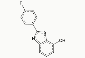 Oc1cccc2nc(-c3ccc(F)cc3)sc12